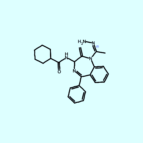 C=C1C(NC(=O)C2CCCCC2)N=C(c2ccccc2)c2ccccc2N1/C(C)=N\N